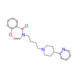 O=C1c2ccccc2OC=CN1CCCCN1CCC(c2ccccn2)CC1